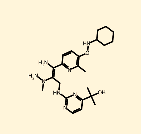 Cc1nc(/C(N)=C(\CNc2nccc(C(C)(C)O)n2)N(C)N)ccc1ONC1CCCCC1